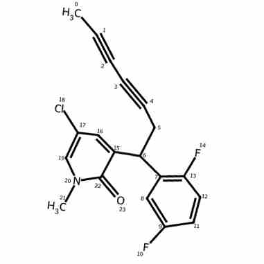 CC#CC#CCC(c1cc(F)ccc1F)c1cc(Cl)cn(C)c1=O